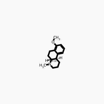 COc1cccc2c1CC[C@@H]1[C@@H]2CCCN1C